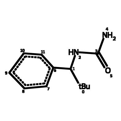 CC(C)(C)C(NC(N)=O)c1ccccc1